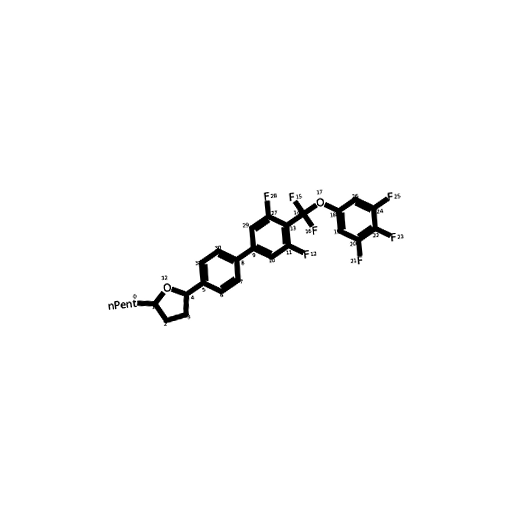 CCCCCC1CCC(c2ccc(-c3cc(F)c(C(F)(F)Oc4cc(F)c(F)c(F)c4)c(F)c3)cc2)O1